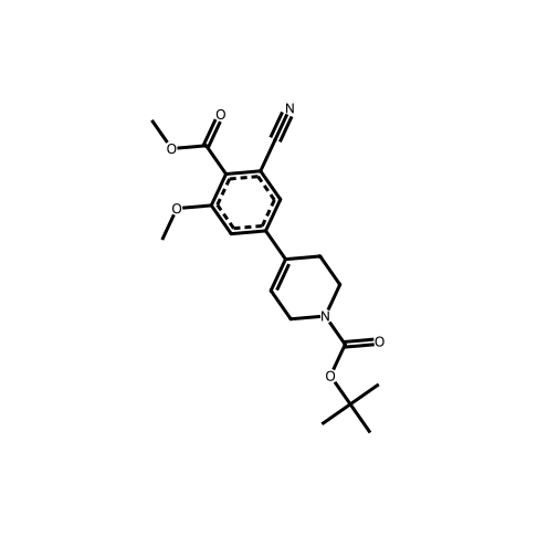 COC(=O)c1c(C#N)cc(C2=CCN(C(=O)OC(C)(C)C)CC2)cc1OC